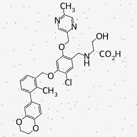 Cc1cnc(COc2cc(OCc3cccc(-c4ccc5c(c4)OCCO5)c3C)c(Cl)cc2CN[C@H](CO)C(=O)O)cn1